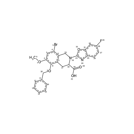 COc1cc(Br)c2c(c1OCc1ccccc1)CC(C(=O)O)N(c1nc3ccc(F)cc3o1)C2